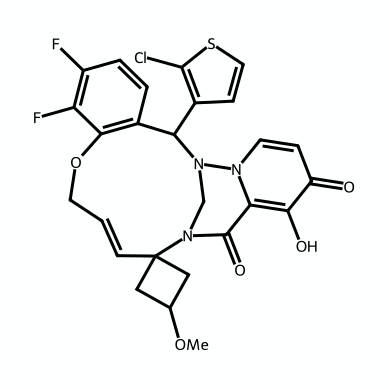 COC1CC2(/C=C/COc3c(ccc(F)c3F)C(c3ccsc3Cl)N3CN2C(=O)c2c(O)c(=O)ccn23)C1